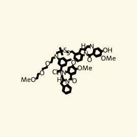 COCCOCCOCCN(CC(C)(C)SSCc1cccc2c1C[C@H]1C=Nc3cc(O)c(OC)cc3C(=O)N21)c1cc(CCl)cc(COc2cc3c(cc2OC)C(=O)N2c4ccccc4C[C@H]2CN3)c1